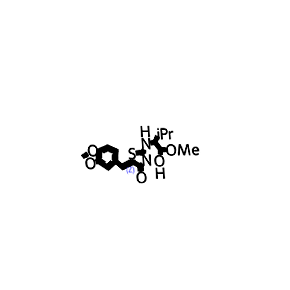 COC(O)C(NC1=NC(=O)/C(=C/c2ccc3c(c2)OCO3)S1)C(C)C